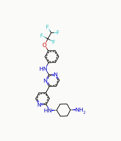 N[C@H]1CC[C@@H](Nc2cc(-c3ccnc(Nc4cccc(OC(F)(F)C(F)F)c4)n3)ccn2)CC1